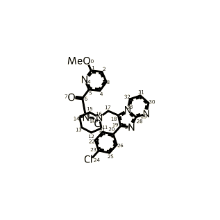 COc1cccc(C(=O)N2CCC3CCC2CN3Cc2c(-c3ccc(Cl)cc3)nc3ncccn23)n1